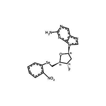 Nc1ncc2ncn([C@H]3C[C@H](F)[C@@H](C[Se]c4ccccc4[N+](=O)[O-])O3)c2n1